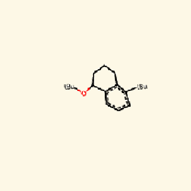 CC(C)(C)OC1CCCc2c1cccc2C(C)(C)C